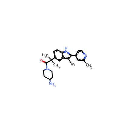 Cc1cc(-c2[nH]c3ccc(C(C)(C)C(=O)N4CCC(N)CC4)cc3c2C(C)C)ccn1